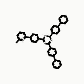 Cc1cccc(-c2ccc(C3=NC(c4ccc(-c5ccccc5)cc4)=NC(c4ccc(-c5ccccc5)cc4)N3)cc2)n1